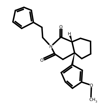 COc1cccc([C@]23CCCC[C@H]2C(=O)N(CCc2ccccc2)C(=O)C3)c1